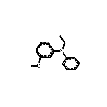 CCN(c1ccccc1)c1cccc(OC)c1